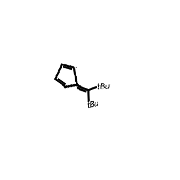 CC(C)(C)C(=C1[C]=CC=C1)C(C)(C)C